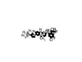 COc1cc(N2CC[C@@H](N(C)C)C2)c(N)cc1Nc1nccc(Nc2cc(Cl)c(F)cc2C(C)(O)C(F)(F)F)n1